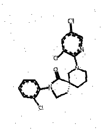 O=C1N(c2ccccc2Cl)CC[C@]12CCCN(c1ncc(Cl)cc1Cl)C2